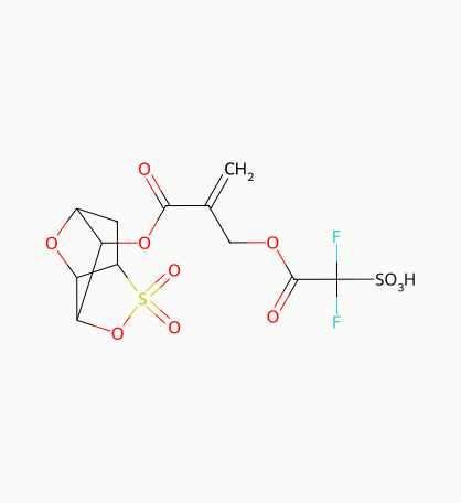 C=C(COC(=O)C(F)(F)S(=O)(=O)O)C(=O)OC1C2CC3C(O2)C1OS3(=O)=O